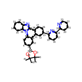 CC1(C)OB(c2ccc3c(c2)c2cc(-c4cccc(-c5ccccn5)n4)ccc2c2nc4ccccc4n32)OC1(C)C